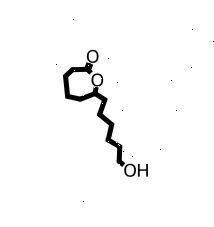 O=C1CCCCC(CCCCCCO)O1